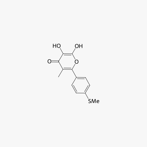 CSc1ccc(-c2oc(O)c(O)c(=O)c2C)cc1